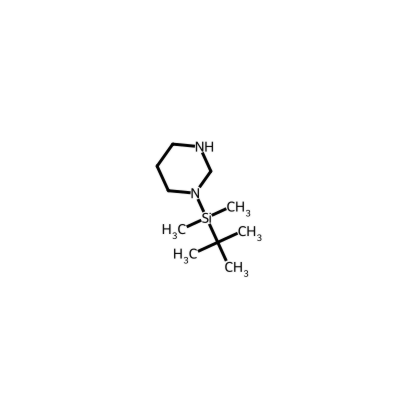 CC(C)(C)[Si](C)(C)N1CCCNC1